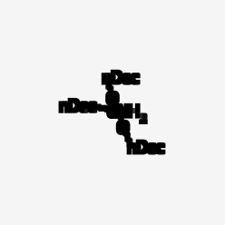 CCCCCCCCCCCCCCCCOCCCCC(N)C(CCCOCCCCCCCCCCCCCCCC)OCCCCCCCCCCCCCCCC